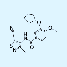 COc1ccc(C(=O)Nc2c(C)nsc2C#N)cc1OC1CCCC1